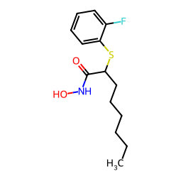 CCCCCCC(Sc1ccccc1F)C(=O)NO